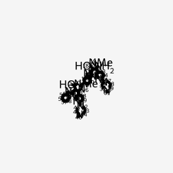 CNC(O)c1c(N(C)Cc2ccc3c(c2)nc2c([C@H](O)NC)c(N)c4ccc(N5CCCN(C)CC5)nc4n23)c2ccc(N3CCCN(C)CC3)nc2n2c1nc1ccccc12